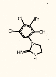 Cc1c(N2CCNC2=N)cc(Cl)c(Cl)c1C(C)C